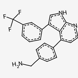 NCc1ccc(-c2ccnc3[nH]cc(-c4cccc(C(F)(F)F)c4)c23)cc1